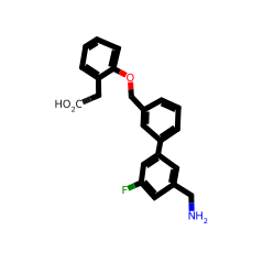 NCc1cc(F)cc(-c2cccc(COc3ccccc3CC(=O)O)c2)c1